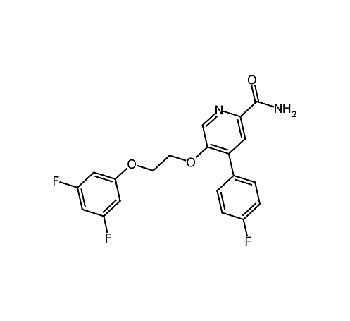 NC(=O)c1cc(-c2ccc(F)cc2)c(OCCOc2cc(F)cc(F)c2)cn1